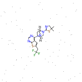 CC1(C)CN=C(N2C[C@@H]3CC[C@H]2CN3c2ncnc3sc(CC(F)(F)F)cc23)S1